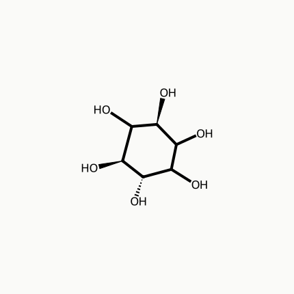 OC1C(O)[C@H](O)[C@@H](O)C(O)[C@H]1O